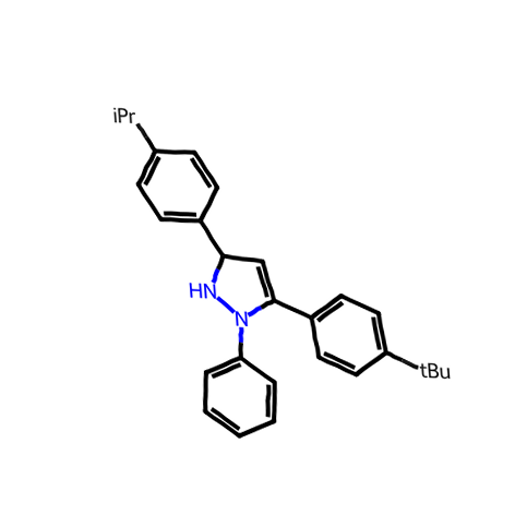 CC(C)c1ccc(C2C=C(c3ccc(C(C)(C)C)cc3)N(c3ccccc3)N2)cc1